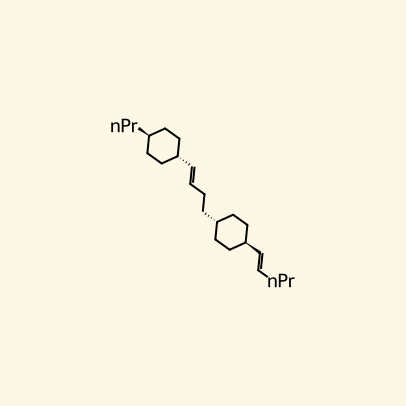 CCCC=C[C@H]1CC[C@H](CCC=C[C@H]2CC[C@H](CCC)CC2)CC1